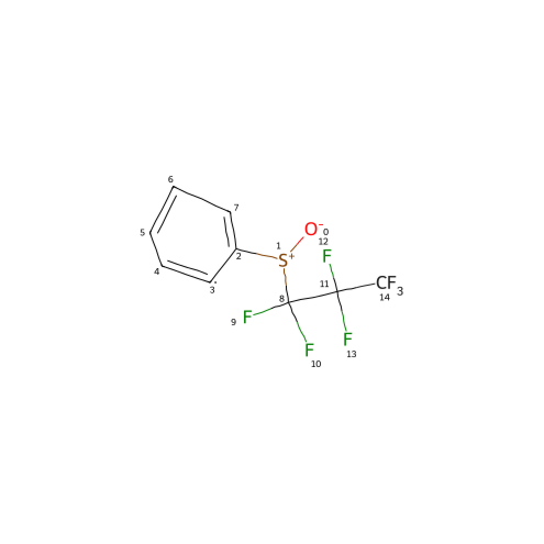 [O-][S+](c1[c]cccc1)C(F)(F)C(F)(F)C(F)(F)F